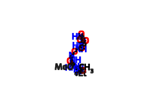 CC[C@@H]1C(=O)N(C)c2cnc(Nc3ccc(C(=O)NC4CCN(CCOCCNCC(=O)Nc5cccc6c5CN(C5CCC(=O)NC5=O)C6=O)C4)cc3OC)nc2N1C1CCCC1